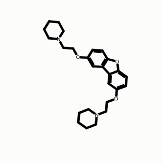 c1cc2oc3ccc(OCCN4CCCCC4)cc3c2cc1OCCN1CCCCC1